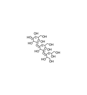 OCC1O[C@H](O[C@@H]2C(O)[C@H](O[C@H](C(O)CO)[C@H](O)C(O)CO)OC(CO)[C@H]2O)C(O)[C@@H](O)[C@@H]1O